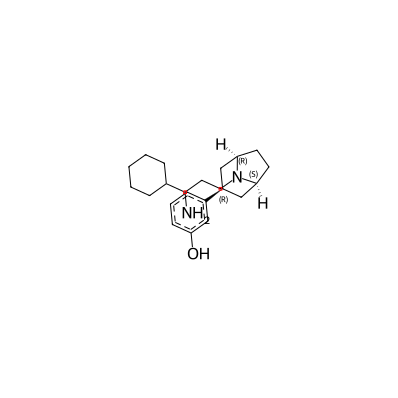 NC(CCN1[C@@H]2CC[C@H]1C[C@@H](c1cccc(O)c1)C2)C1CCCCC1